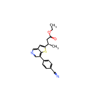 CCOC(=O)C[C@@H](C)c1cc2cncc(-c3ccc(C#N)cc3)c2s1